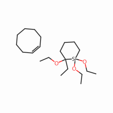 C1=CCCCCCC1.CCOC1(CC)CCCC[Si]1(OCC)OCC